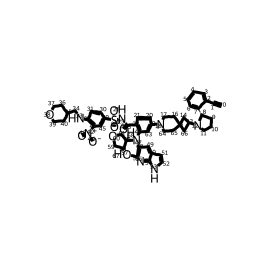 C#Cc1ccccc1[C@@H]1CCCN1C1CC2(CCN(c3ccc(C(=O)NS(=O)(=O)c4ccc(NCC5CCOCC5)c([N+](=O)[O-])c4)c(N4c5cc6cc[nH]c6nc5O[C@H]5COC[C@@H]54)c3)CC2)C1